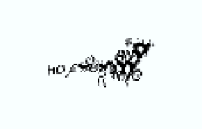 Cn1c(=O)c(F)c(Nc2ccc(I)cc2F)c2c(=O)n(C[C@@H](O)COC(=O)CCC(=O)O)cnc21